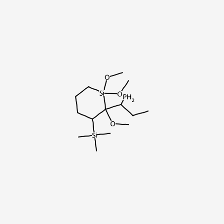 CCC(P)C1(OC)C([Si](C)(C)C)CCC[Si]1(OC)OC